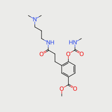 CNC(=O)Oc1ccc(C(=O)OC)cc1CCC(=O)NCCCN(C)C